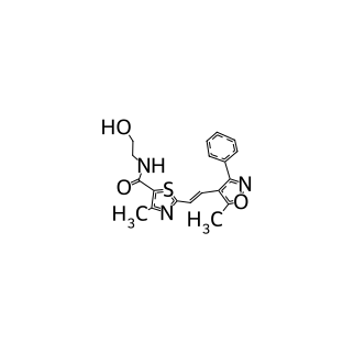 Cc1nc(/C=C/c2c(-c3ccccc3)noc2C)sc1C(=O)NCCO